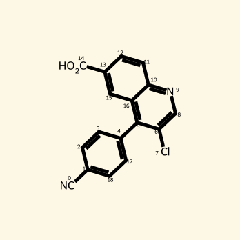 N#Cc1ccc(-c2c(Cl)cnc3ccc(C(=O)O)cc23)cc1